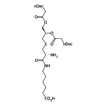 CCCCCCCCCCCC(=O)OC[C@H](CSC[C@H](N)C(=O)NCCCCCC(=O)O)OC(=O)CCCCCCCCCCC